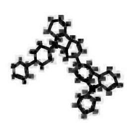 C1=CCCC(C2CC=C(N3C4=C(C=CCC4)C4C=CC(c5ccc6c(c5)C5CCC=CC5N6c5ccccc5)CC43)CC2)=C1